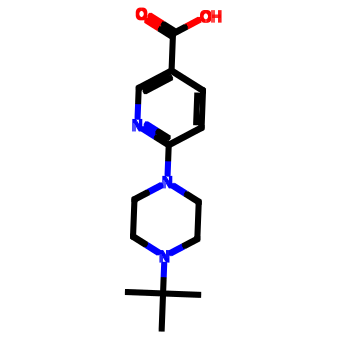 CC(C)(C)N1CCN(c2ccc(C(=O)O)cn2)CC1